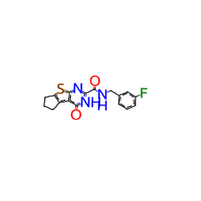 O=C(NCc1cccc(F)c1)c1nc2sc3c(c2c(=O)[nH]1)CCC3